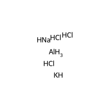 Cl.Cl.Cl.[AlH3].[KH].[NaH]